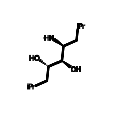 CC(C)C[C@H]([NH])[C@@H](O)[C@@H](O)CC(C)C